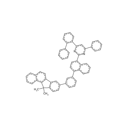 CC1(C)c2ccc(-c3cccc(-c4ccc(-c5nc(-c6ccccc6)cc(-c6ccccc6-c6ccccc6)n5)c5ccccc45)c3)cc2-c2ccc3ccccc3c21